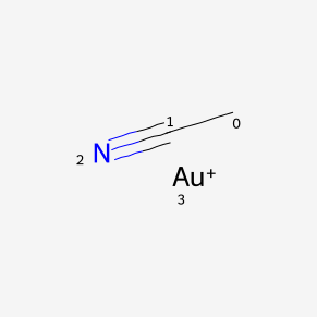 CC#N.[Au+]